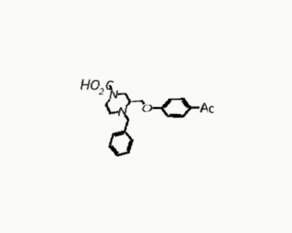 CC(=O)c1ccc(OC[C@@H]2CN(C(=O)O)CCN2Cc2ccccc2)cc1